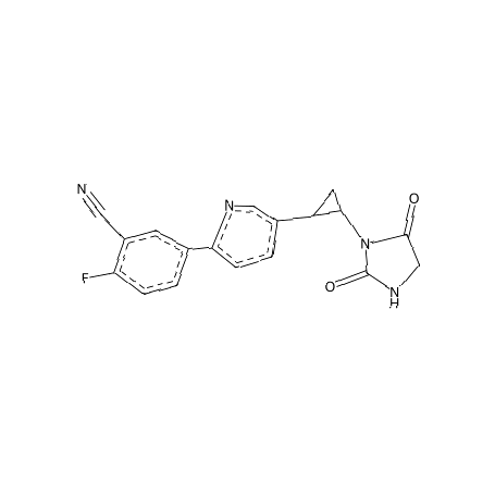 N#Cc1cc(-c2ccc(C3CC3N3C(=O)CNC3=O)cn2)ccc1F